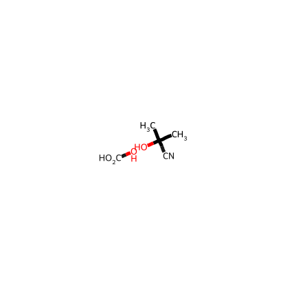 CC(C)(O)C#N.O=C(O)O